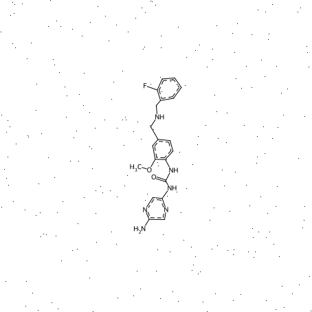 COc1cc(CNCc2ccccc2F)ccc1NC(=O)Nc1cnc(N)cn1